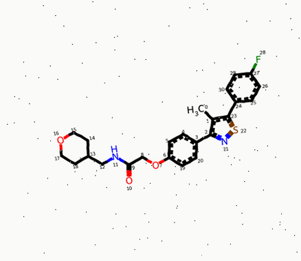 Cc1c(-c2ccc(OCC(=O)NCC3CCOCC3)cc2)nsc1-c1ccc(F)cc1